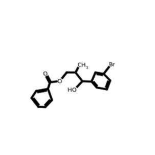 CC(COC(=O)c1ccccc1)C(O)c1cccc(Br)c1